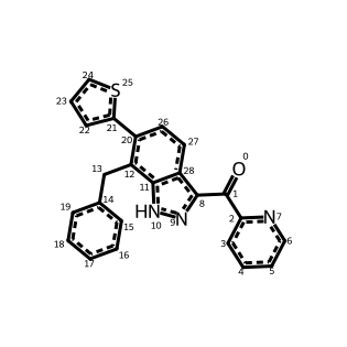 O=C(c1ccccn1)c1n[nH]c2c(Cc3ccccc3)c(-c3cccs3)ccc12